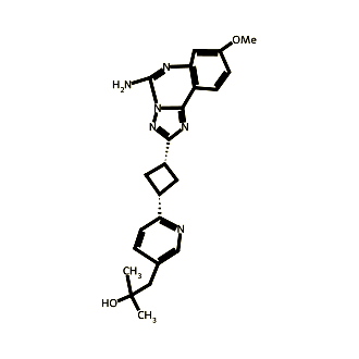 COc1ccc2c(c1)nc(N)n1nc([C@H]3C[C@@H](c4ccc(CC(C)(C)O)cn4)C3)nc21